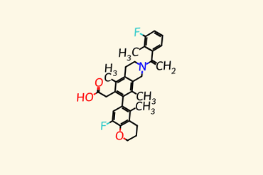 C=C(c1cccc(F)c1C)N1CCc2c(C)c(CC(=O)O)c(-c3cc(F)c4c(c3C)CCCO4)c(C)c2C1